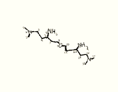 CN(C)CCC(N)CCOCCC(N)CCN(C)C